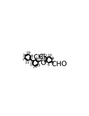 Cc1c(COc2cc(C=O)ccc2Cl)cccc1-c1ccccc1